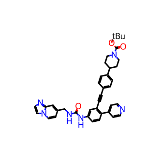 CC(C)(C)OC(=O)N1CCC(c2ccc(C#Cc3cc(NC(=O)NCc4ccn5ccnc5c4)ccc3-c3ccncc3)cc2)CC1